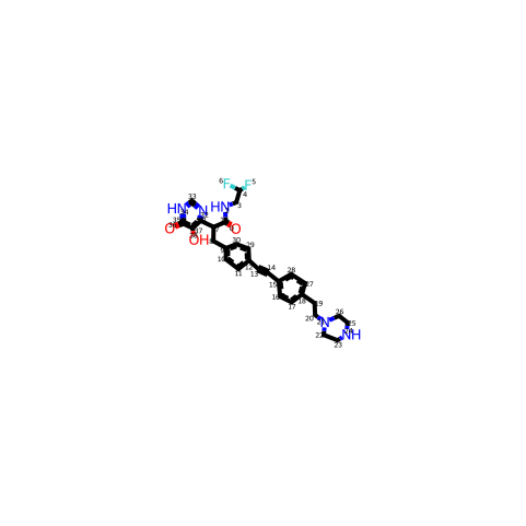 O=C(NCC(F)F)C(Cc1ccc(C#Cc2ccc(CCN3CCNCC3)cc2)cc1)c1nc[nH]c(=O)c1O